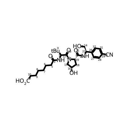 CC(C)(C)C(NC(=O)CCCCCCC(=O)O)C(=O)N1C[C@H](O)C[C@H]1C(=O)N[C@@H](CO)c1ccc(C#N)cc1